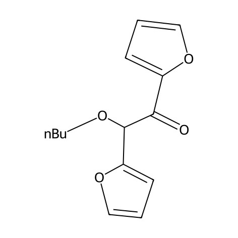 CCCCOC(C(=O)c1ccco1)c1ccco1